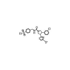 CCS(=O)(=O)c1ccc(CNC(=O)N2CC(c3cccc(Cl)c3)C(c3nc(C4CC4)cs3)C2)cc1